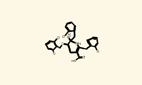 NC1(Cc2ccccc2Cl)NC(Cc2ccccc2Cl)=C(C(=O)O)C=C1OCc1c(Cl)cccc1Cl